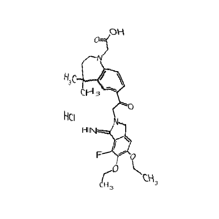 CCOc1cc2c(c(F)c1OCC)C(=N)N(CC(=O)c1ccc3c(c1)C(C)(C)CCN3CC(=O)O)C2.Cl